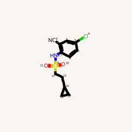 N#Cc1cc(Cl)[c]cc1NS(=O)(=O)CCC1CC1